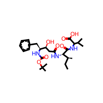 CC[C@H](C)[C@H](NC(=O)C[C@H](O)[C@H](Cc1ccccc1)NC(=O)OC(C)(C)C)C(=O)NC(C(=O)O)C(C)C